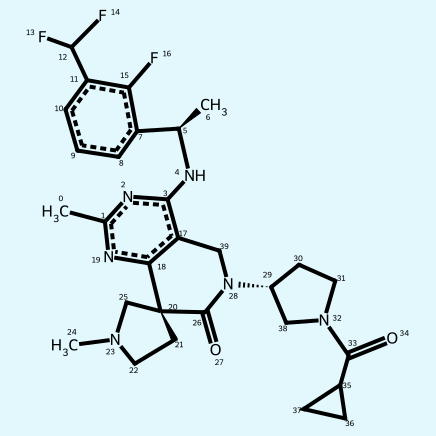 Cc1nc(N[C@H](C)c2cccc(C(F)F)c2F)c2c(n1)[C@]1(CCN(C)C1)C(=O)N([C@@H]1CCN(C(=O)C3CC3)C1)C2